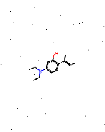 C/C=C(\C)c1ccc(N(CC)CC)cc1O